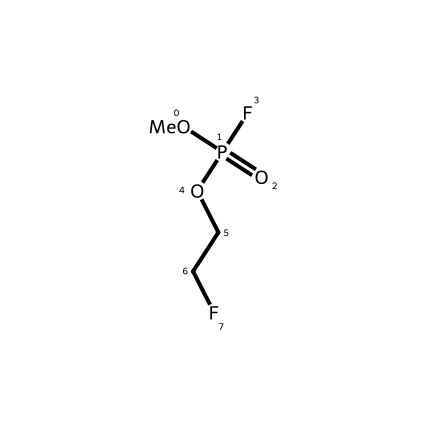 COP(=O)(F)OCCF